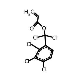 C=CC(=O)OC(Cl)(Cl)c1ccc(Cl)c(Cl)c1Cl